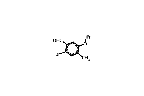 Cc1cc(Br)c(C=O)cc1OC(C)C